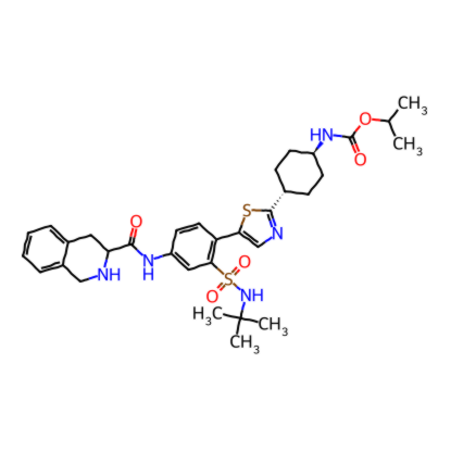 CC(C)OC(=O)N[C@H]1CC[C@H](c2ncc(-c3ccc(NC(=O)C4Cc5ccccc5CN4)cc3S(=O)(=O)NC(C)(C)C)s2)CC1